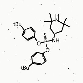 CC1(C)CC(NP(=S)(Oc2ccc(C(C)(C)C)cc2)Oc2ccc(C(C)(C)C)cc2)CC(C)(C)N1